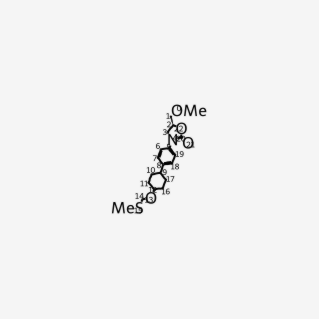 COC[C@@H]1CN(c2ccc(C3CCC(OCSC)CC3)cc2)C(=O)O1